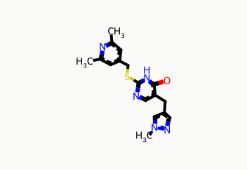 Cc1cc(CSc2ncc(Cc3cnn(C)c3)c(=O)[nH]2)cc(C)n1